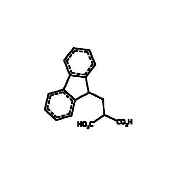 O=C(O)C(CC1c2ccccc2-c2ccccc21)C(=O)O